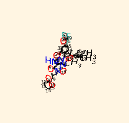 Cn1c2c(c(=O)n(CCCOC3CCCCO3)c1=O)NC(Oc1cccc(OC(F)(F)F)c1)N2COCC[Si](C)(C)C